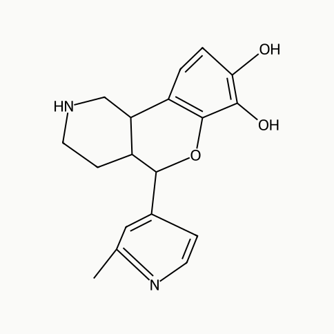 Cc1cc(C2Oc3c(ccc(O)c3O)C3CNCCC32)ccn1